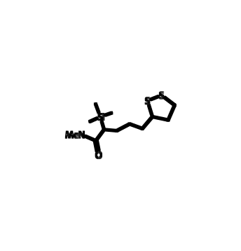 CNC(=O)C(CCCC1CCSS1)[Si](C)(C)C